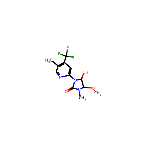 COC1C(O)N(c2cc(C(F)(F)F)c(C)cn2)C(=O)N1C